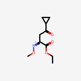 CCOC(=O)/C(CC(=O)C1CC1)=N\OC